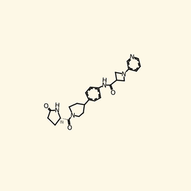 O=C1CC[C@@H](C(=O)N2CCC(c3ccc(NC(=O)C4CN(c5cccnc5)C4)cc3)CC2)N1